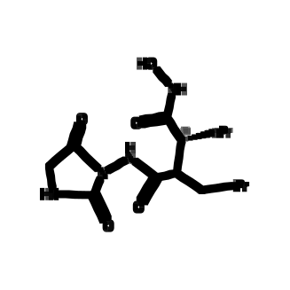 CCC[C@@H](C(=O)NO)C(CC(C)C)C(=O)NN1C(=O)CNC1=O